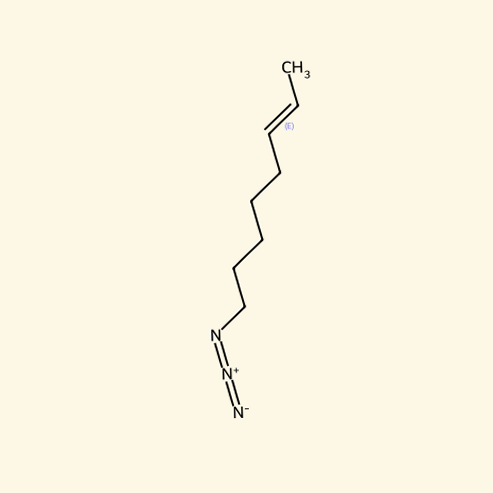 C/C=C/CCCCCN=[N+]=[N-]